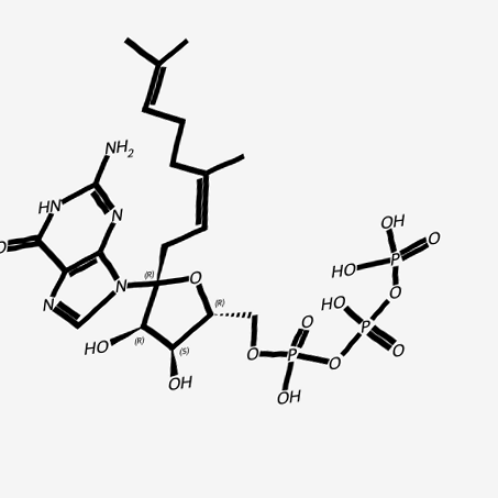 CC(C)=CCCC(C)=CC[C@@]1(n2cnc3c(=O)[nH]c(N)nc32)O[C@H](COP(=O)(O)OP(=O)(O)OP(=O)(O)O)[C@@H](O)[C@H]1O